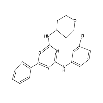 Clc1cccc(Nc2nc(NC3CCOCC3)nc(-c3ccccc3)n2)c1